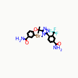 Cn1c(-c2ccc(C(N)=O)cc2C(F)(F)F)nnc1C(C)(C)Oc1ccc(C(N)=O)cc1Br